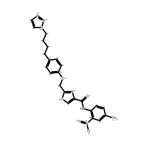 Cc1ccc(NC(=O)c2coc(COc3ccc(CCCCn4ccnn4)cc3)n2)c([N+](=O)[O-])c1